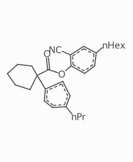 CCCCCCc1ccc(OC(=O)C2(c3ccc(CCC)cc3)CCCCC2)c(C#N)c1